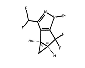 CC(C)n1nc(C(F)F)c2c1C(F)(F)[C@H]1C[C@@H]21